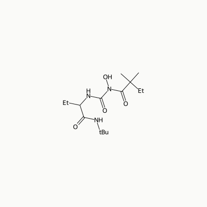 CCC(NC(=O)N(O)C(=O)C(C)(C)CC)C(=O)NC(C)(C)C